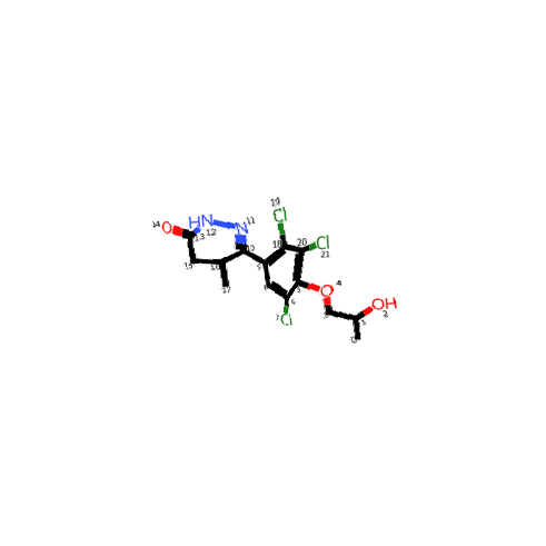 CC(O)COc1c(Cl)cc(C2=NNC(=O)CC2C)c(Cl)c1Cl